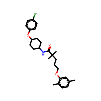 Cc1ccc(C)c(OCCCC(C)(C)C(=O)NC2CCC(Oc3ccc(Br)cc3)CC2)c1